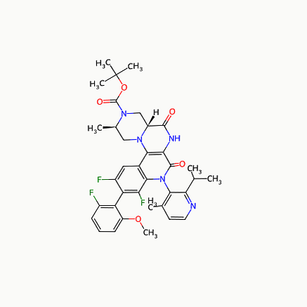 COc1cccc(F)c1-c1c(F)cc2c3c(c(=O)n(-c4c(C)ccnc4C(C)C)c2c1F)NC(=O)[C@H]1CN(C(=O)OC(C)(C)C)[C@H](C)CN31